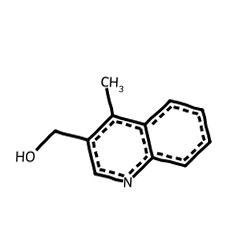 Cc1c(CO)cnc2ccccc12